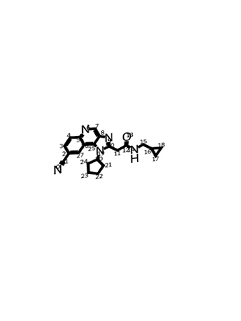 N#Cc1ccc2ncc3nc(CC(=O)NCC4CC4)n(C4CCCC4)c3c2c1